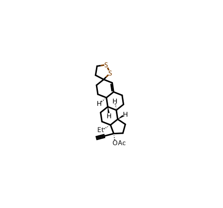 C#C[C@]1(OC(C)=O)CC[C@H]2[C@@H]3CCC4=CC5(CCSS5)CC[C@@H]4[C@H]3CC[C@@]21CC